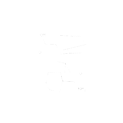 NC(=O)C12CC3CC(C1)CC(C14CC5CC(CC(C(=O)O)(C5)C1)C4)(C3)C2